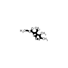 C=Cc1c(C(=O)OCC)sc2nnc(C)c(C)c12